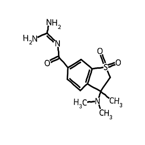 CN(C)C1(C)CS(=O)(=O)c2cc(C(=O)N=C(N)N)ccc21